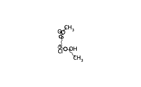 CCCCCC(O)c1ccc(C2=C(Cl)CC[C@@H]2CCCc2ccc(C(=O)OCCC)s2)cc1